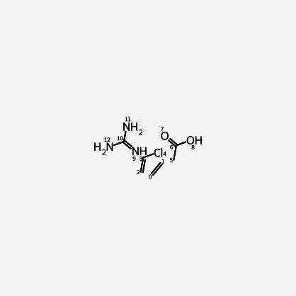 C=C.C=CCl.CC(=O)O.N=C(N)N